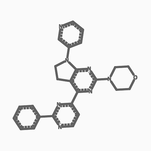 c1ccc(-c2nccc(-c3nc(N4CCOCC4)nc4c3CCN4c3cccnc3)n2)cc1